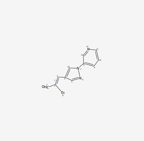 CC/C(C=O)=C\c1cnn(-c2cccnc2)c1